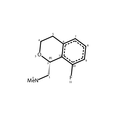 CNC[C@@H]1OCCc2cccc(F)c21